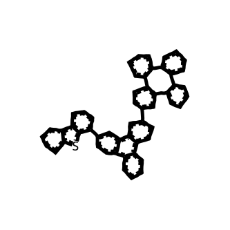 c1ccc2c(c1)-c1ccccc1-c1ccc(-c3ccc4c5ccccc5c5ccc(-c6cccc7c6sc6ccccc67)cc5c4c3)cc1-c1ccccc1-2